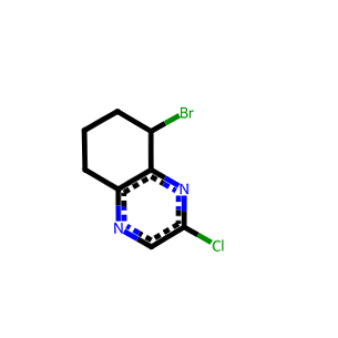 Clc1cnc2c(n1)C(Br)CCC2